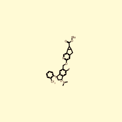 CN(C)[C@@H]1C[C@@H](c2ccccc2C(F)(F)F)c2cc(COc3cc4c(cn3)C3C(C4)C3C(=O)OC(C)(C)C)c(F)cc21